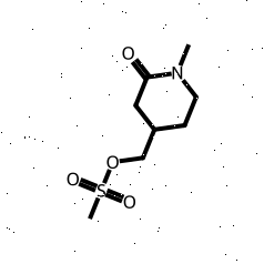 CN1CCC(COS(C)(=O)=O)CC1=O